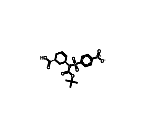 CC(C)(C)OC(=O)N([C@@H]1C=CC[C@@H](C(=O)O)C1)S(=O)(=O)c1ccc([N+](=O)[O-])cc1